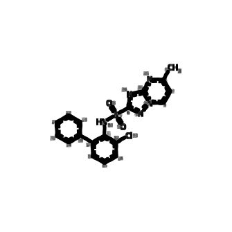 Cc1ccn2nc(S(=O)(=O)Nc3c(Cl)cccc3-c3ccccc3)nc2n1